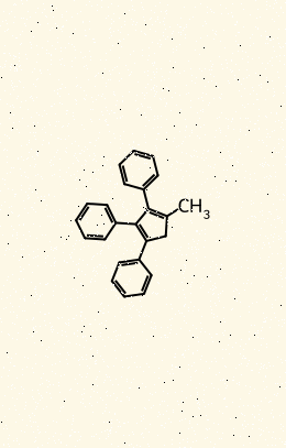 CC1=C(c2ccccc2)C(c2ccccc2)=C(c2ccccc2)C1